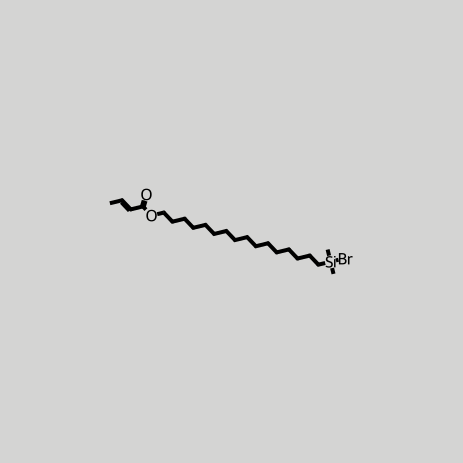 CC=CC(=O)OCCCCCCCCCCCCCCCC[Si](C)(C)Br